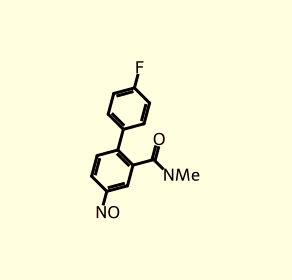 CNC(=O)c1cc(N=O)ccc1-c1ccc(F)cc1